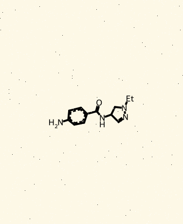 CCN1CC(NC(=O)c2ccc(N)cc2)C=N1